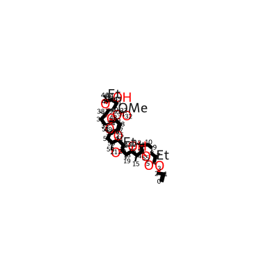 C=CCOC(=O)[C@H](CC)[C@H]1CC[C@H](C)[C@H]([C@@H](C)[C@H](O)[C@H](C)C(=O)[C@H](CC)[C@H]2O[C@]3(C=C[C@@H](OC(=O)OC)[C@]4(CC[C@@](C)([C@H]5CC[C@](O)(CC)[C@H](C)O5)O4)O3)[C@H](C)C[C@@H]2C)O1